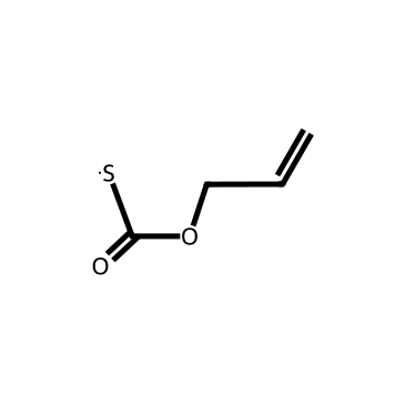 C=CCOC(=O)[S]